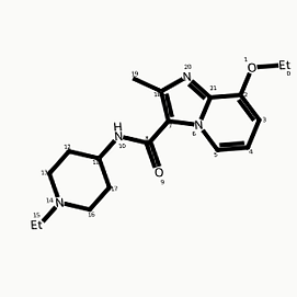 CCOc1cccn2c(C(=O)NC3CCN(CC)CC3)c(C)nc12